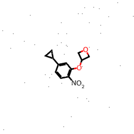 O=[N+]([O-])c1ccc(C2CC2)cc1OC1COC1